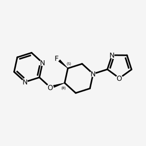 F[C@H]1CN(c2ncco2)CC[C@H]1Oc1ncccn1